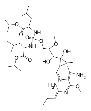 CC/C=C(N)/N=C(/OC)C(/N=C\C1C(C)C1(O)C(O)C(COP(=O)(NC(CC(C)C)C(=O)OC(C)C)N[C@@H](CC(C)C)C(=O)OC(C)C)OC)=C(C)N